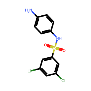 Nc1ccc(NS(=O)(=O)c2cc(Cl)cc(Cl)c2)cc1